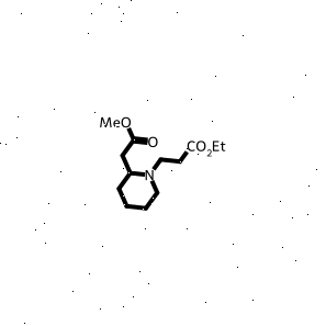 CCOC(=O)CCN1CCCCC1CC(=O)OC